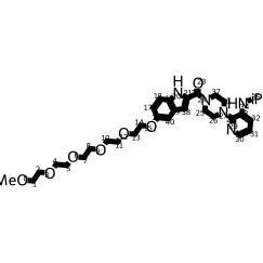 COCCOCCOCCOCCOCCOc1ccc2[nH]c(C(=O)N3CCN(c4ncccc4NC(C)C)CC3)cc2c1